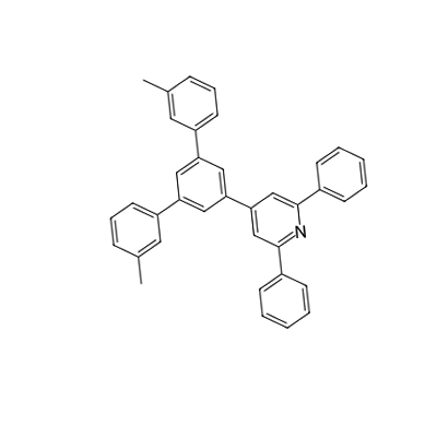 Cc1cccc(-c2cc(-c3cccc(C)c3)cc(-c3cc(-c4ccccc4)nc(-c4ccccc4)c3)c2)c1